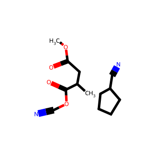 COC(=O)CC(C)C(=O)OC#N.N#CC1CCCC1